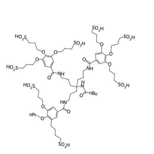 CCCCC(=O)NC(CCCNC(=O)c1cc(CCCCS(=O)(=O)O)c(OCCC)c(OCCCS(=O)(=O)O)c1)(CCCNC(=O)c1cc(OCCCS(=O)(=O)O)c(OCCCS(=O)(=O)O)c(OCCCS(=O)(=O)O)c1)CCCNC(=O)c1cc(OCCCS(=O)(=O)O)c(OCCCS(=O)(=O)O)c(OCCCS(=O)(=O)O)c1